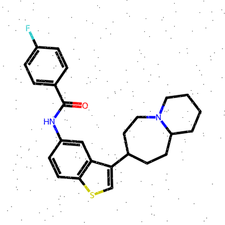 O=C(Nc1ccc2scc(C3CCC4CCCCN4CC3)c2c1)c1ccc(F)cc1